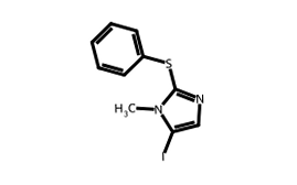 Cn1c(I)cnc1Sc1ccccc1